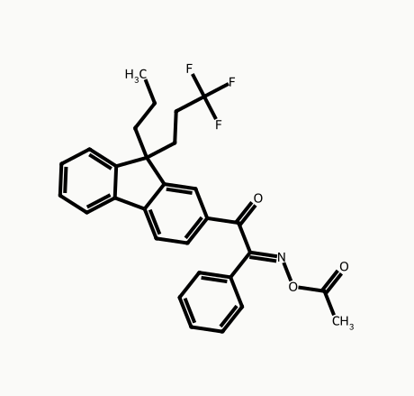 CCCC1(CCC(F)(F)F)c2ccccc2-c2ccc(C(=O)/C(=N/OC(C)=O)c3ccccc3)cc21